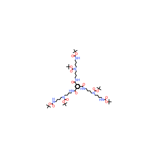 CC(C)(C)OC(=O)NCCCCN(CCCCNC(=O)c1cc(C(=O)NCCCCN(CCCCNC(=O)OC(C)(C)C)C(=O)OC(C)(C)C)cc(C(=O)NCCCCN(CCCCNC(=O)OC(C)(C)C)C(=O)OC(C)(C)C)c1)C(=O)OC(C)(C)C